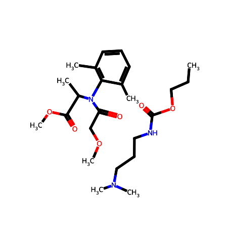 CCCOC(=O)NCCCN(C)C.COCC(=O)N(c1c(C)cccc1C)C(C)C(=O)OC